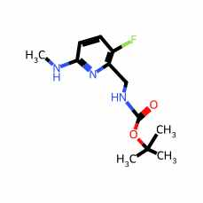 CNc1ccc(F)c(CNC(=O)OC(C)(C)C)n1